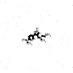 CC(C)N(C)c1ccc(-c2n[nH]cc2CN(C)CCN)cn1